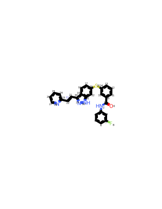 O=C(Nc1cccc(F)c1)c1cccc(Sc2ccc3c(/C=C/c4ccccn4)n[nH]c3c2)c1